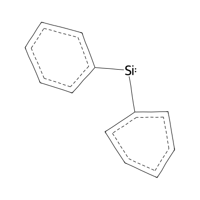 c1ccc([Si]c2ccccc2)cc1